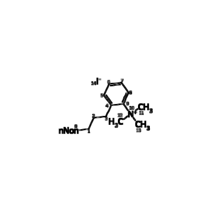 CCCCCCCCCCCCc1ccccc1[N+](C)(C)C.[I-]